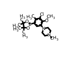 COc1c(N2CCN(C)CC2)cc(B2OC(C)(C)C(C)(C)O2)c(C)c1Cl